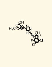 CCOc1cc(-c2cc(NCCn3c(C)cc4c(Cl)cc(Cl)c(F)c43)ncn2)sc1C(=O)O